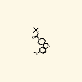 COc1ccc2c(c1)C1(CCN(C(=O)OC(C)(C)C)CC1)CO2